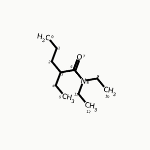 CCCC(CC)C(=O)N(CC)CC